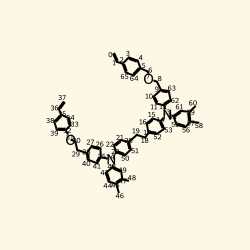 C=Cc1ccc(COCc2ccc(N(c3ccc(CCc4ccc(N(c5ccc(CCOc6ccc(C=C)cc6)cc5)c5ccc(C)c(C)c5)cc4)cc3)c3ccc(C)c(C)c3)cc2)cc1